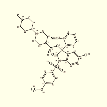 COc1ncccc1C1(OC(=O)N2CCN(C3CCN(C)CC3)CC2)C(=O)N(S(=O)(=O)c2ccc(OC(F)(F)F)cc2)c2ccc(Cl)cc21